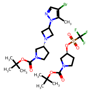 CC(C)(C)OC(=O)N1CC[C@H](OS(=O)(=O)C(F)(F)F)C1.Cc1c(Br)cnn1C1CN([C@@H]2CCN(C(=O)OC(C)(C)C)C2)C1